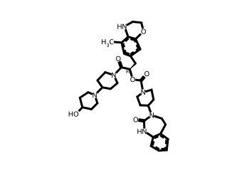 Cc1cc(C[C@@H](OC(=O)N2CCC(N3CCc4ccccc4NC3=O)CC2)C(=O)N2CCC(N3CCC(O)CC3)CC2)cc2c1NCCO2